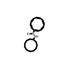 CCN(NC1CCCCCCCCCC1)C1=C/C=C\C=C/C=C\C=C/C=C\1